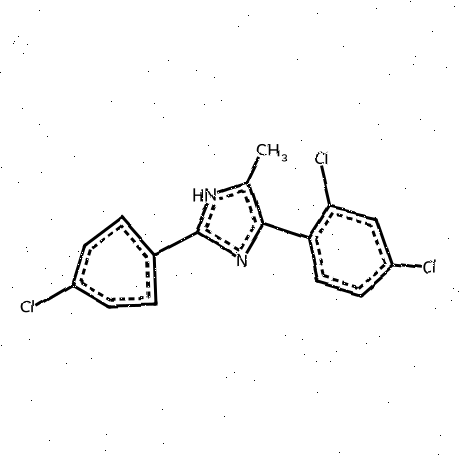 Cc1[nH]c(-c2ccc(Cl)cc2)nc1-c1ccc(Cl)cc1Cl